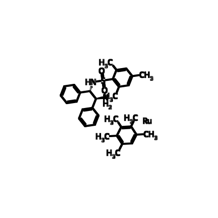 Cc1cc(C)c(C)c(C)c1C.Cc1cc(C)c(S(=O)(=O)N[C@@H](c2ccccc2)[C@@H](N)c2ccccc2)c(C)c1.[Ru]